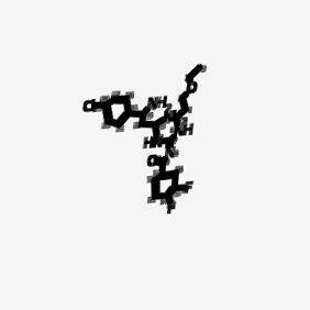 CCOCCCN/C(=N/C(=O)c1ccc(F)c(F)c1)NC(N)CC(N)c1ccc(Cl)cc1